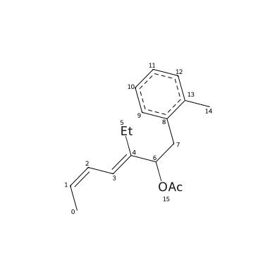 C/C=C\C=C(/CC)C(Cc1ccccc1C)OC(C)=O